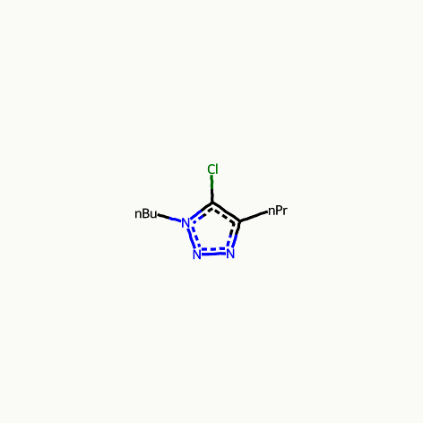 CCCCn1nnc(CCC)c1Cl